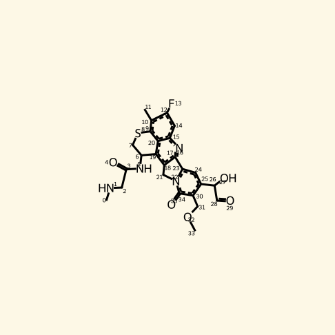 CNCC(=O)NC1CSc2c(C)c(F)cc3nc4c(c1c23)Cn1c-4cc(C(O)C=O)c(COC)c1=O